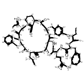 CCCC(=O)N[C@@H](Cc1ccccc1)C(=O)N[C@@H](CCC(=O)O)C(=O)N[C@@H]1C(=O)N[C@@H](Cc2ccc(O)cc2)C(=O)N[C@H]2CC[C@@H](O)N(C2=O)[C@@H](C(C)C)C(=O)N(C)[C@@H](Cc2ccccc2)C(=O)N[C@@H]([C@@H](C)CC)C(=O)O[C@@H]1C